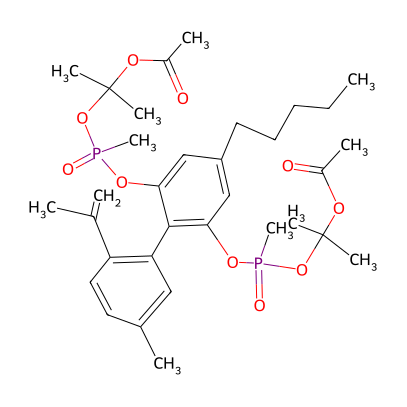 C=C(C)c1ccc(C)cc1-c1c(OP(C)(=O)OC(C)(C)OC(C)=O)cc(CCCCC)cc1OP(C)(=O)OC(C)(C)OC(C)=O